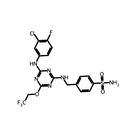 NS(=O)(=O)c1ccc(CNc2nc(Nc3ccc(F)c(Cl)c3)nc(OCC(F)(F)F)n2)cc1